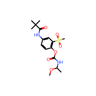 COC(C)NC(=O)Oc1ccc(NC(=O)C(C)(C)C)cc1S(C)(=O)=O